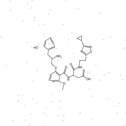 COc1nccc(OCC(N)Cc2ccccc2)c1C(=O)NC(CC(=O)O)C(=O)NCCc1nc(C2CC2)no1.Cl